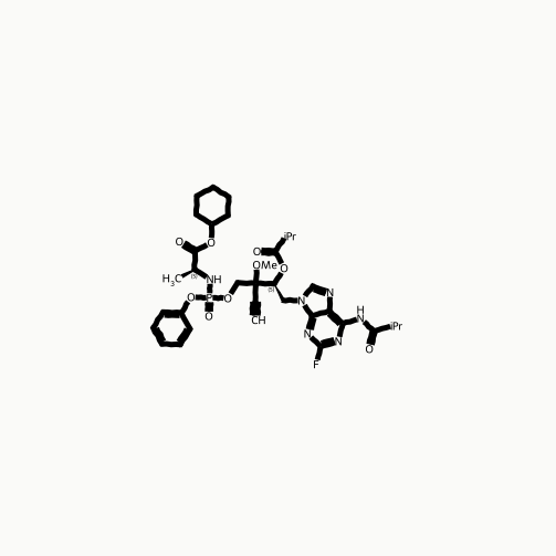 C#CC(COP(=O)(N[C@@H](C)C(=O)OC1CCCCC1)Oc1ccccc1)(OC)[C@H](Cn1cnc2c(NC(=O)C(C)C)nc(F)nc21)OC(=O)C(C)C